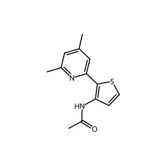 CC(=O)Nc1ccsc1-c1cc(C)cc(C)n1